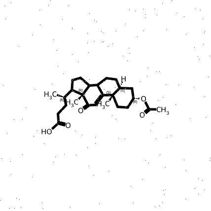 CC(=O)O[C@@H]1CC[C@]2(C)C3=CC(=O)[C@@]4(C)C(CCC4[C@H](C)CCC(=O)O)C3CC[C@H]2C1